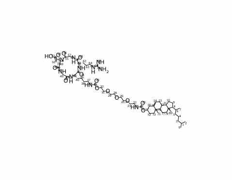 CC(C)CCCC(C)C1CCC2C3CC=C4CC(OC(=O)NCCOCCOCCOCCOC(=O)NCCCC[C@@H]5NC(=O)CNC(=O)[C@H](CC(=O)O)NC(=O)CNC(=O)[C@H](CCCNC(=N)N)NC5=O)CCC4(C)C3CCC12C